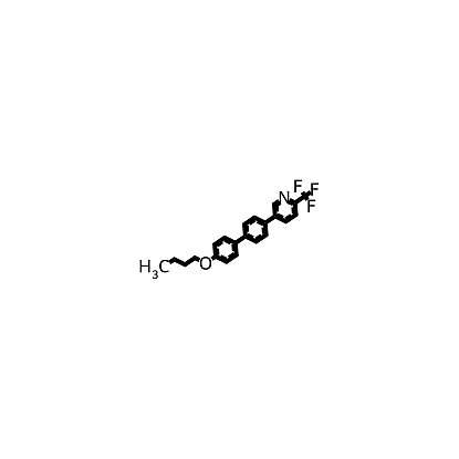 CCCCOc1ccc(-c2ccc(-c3ccc(C(F)(F)F)nc3)cc2)cc1